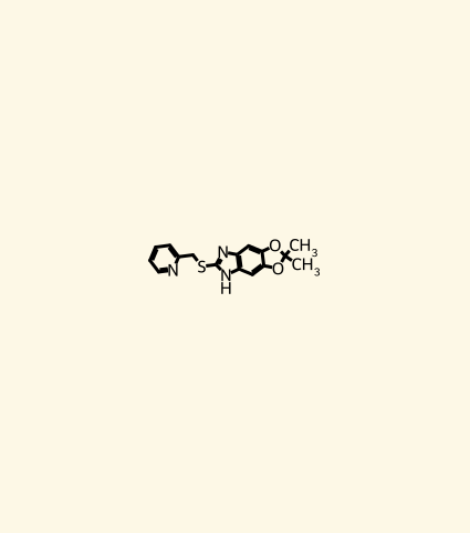 CC1(C)Oc2cc3nc(SCc4ccccn4)[nH]c3cc2O1